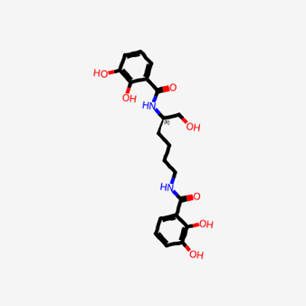 O=C(NCCCC[C@H](CO)NC(=O)c1cccc(O)c1O)c1cccc(O)c1O